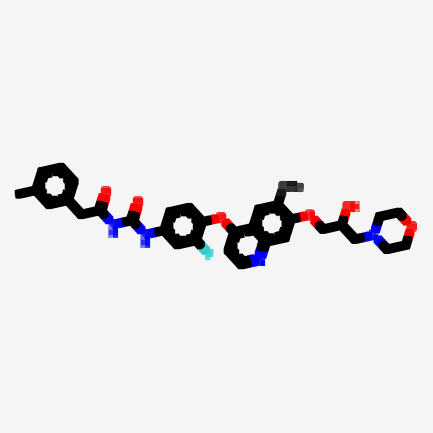 COc1cc2c(Oc3ccc(NC(=O)NC(=O)Cc4cccc(C)c4)cc3F)ccnc2cc1OCC(O)CN1CCOCC1